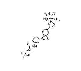 CC(C)(C(N)=O)n1cc(-c2ccn3c(-c4cccc(NC(=O)NCC(F)(F)F)c4)cnc3c2)cn1